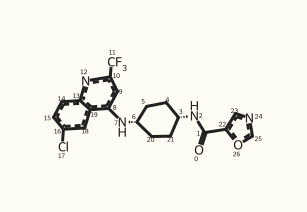 O=C(N[C@H]1CC[C@@H](Nc2cc(C(F)(F)F)nc3ccc(Cl)cc23)CC1)c1cnco1